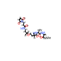 CNC(=O)C(C)NC(=O)[C@@H](NC(=O)C(C)(C)CCOC(C)(C)CCNC(=O)CCN1C(=O)C=CC1=O)C(C)C